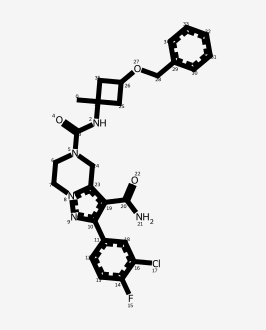 CC1(NC(=O)N2CCn3nc(-c4ccc(F)c(Cl)c4)c(C(N)=O)c3C2)CC(OCc2ccccc2)C1